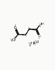 O=C(O)CCC(=O)O.[LiH].[LiH]